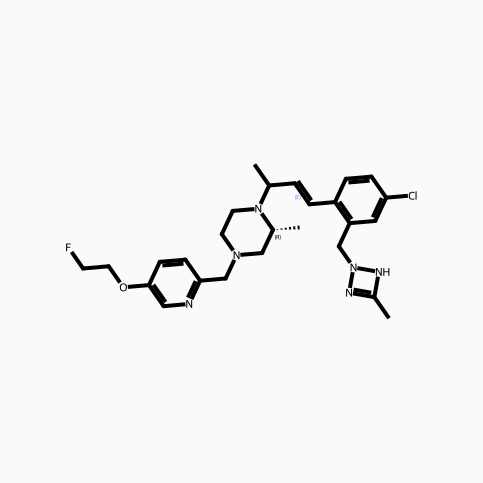 Cc1nn(Cc2cc(Cl)ccc2/C=C/C(C)N2CCN(Cc3ccc(OCCF)cn3)C[C@H]2C)[nH]1